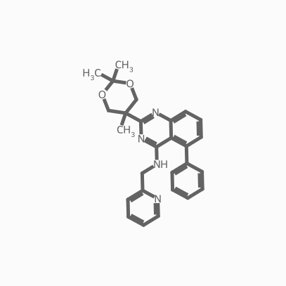 CC1(C)OCC(C)(c2nc(NCc3ccccn3)c3c(-c4ccccc4)cccc3n2)CO1